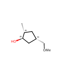 COC[C@H]1C[C@@H](C)[C@H](O)C1